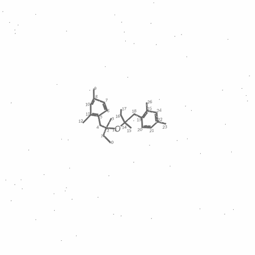 CCC(C)(Cc1ccc(C)cc1C)OC(C)(CC)Cc1ccc(C)cc1C